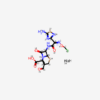 Nc1nc(/C(=N/OCF)C(=O)NC2C(=O)N3C(C(=O)O)=C(C=O)CSC23)ns1.[NaH]